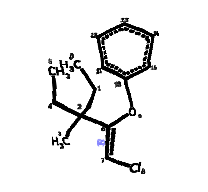 CCC(C)(CC)/C(=C/Cl)Oc1ccccc1